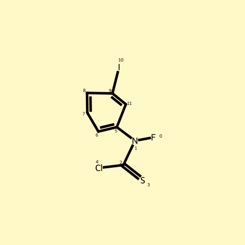 FN(C(=S)Cl)c1cccc(I)c1